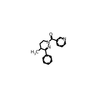 CC1CCN(C(=O)c2cccnc2)N=C1c1ccccc1